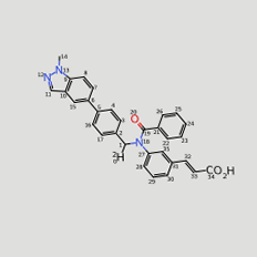 [2H]C(c1ccc(-c2ccc3c(cnn3C)c2)cc1)N(C(=O)c1ccccc1)c1cccc(/C=C/C(=O)O)c1